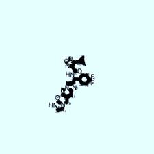 O=C(N[C@H](c1cn2ncc(CN3CCNC3=O)cc2n1)C1CCC(F)(F)CC1)c1nonc1C1CC1